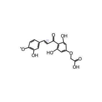 COc1ccc(/C=C/C(=O)c2c(O)cc(OCC(=O)O)cc2O)cc1O